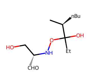 CCCC[C@H](C)C(O)(CC)ON[C@H](C=O)CO